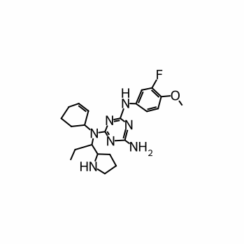 CCC(C1CCCN1)N(c1nc(N)nc(Nc2ccc(OC)c(F)c2)n1)C1C=CCCC1